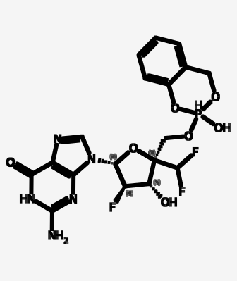 Nc1nc2c(ncn2[C@@H]2O[C@@](CO[PH]3(O)OCc4ccccc4O3)(C(F)F)[C@H](O)[C@H]2F)c(=O)[nH]1